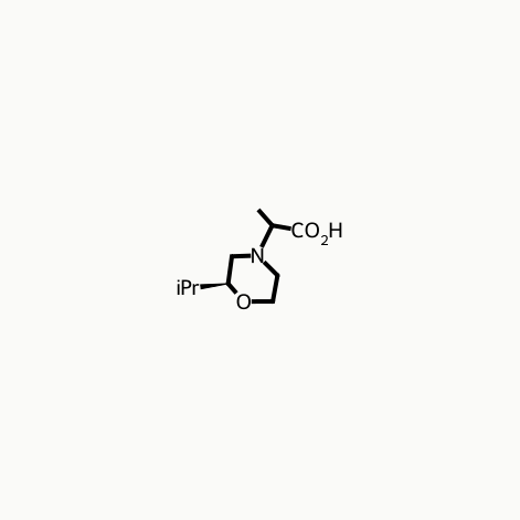 CC(C)[C@H]1CN(C(C)C(=O)O)CCO1